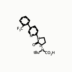 CC(C)(C)N(C(=O)O)[C@H]1CCN(c2ccc(-c3ccccc3C(F)(F)F)cn2)C1=O